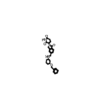 O=C1CCC(N2Cc3cc(CN[C@@H]4CCC[C@H](OCc5ccccc5)C4)ccc3C2=O)C(=O)N1